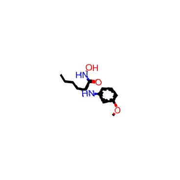 CCCCC(Nc1cccc(OC)c1)C(=O)NO